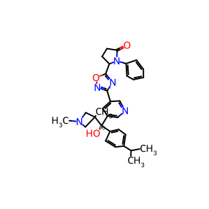 CC(C)c1ccc([C@](O)(c2cncc(-c3noc(C4CCC(=O)N4c4ccccc4)n3)c2)C2(C)CN(C)C2)cc1